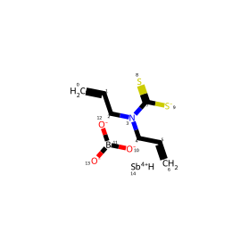 C=CCN(CC=C)C(=S)[S-].[O-]B([O-])[O-].[SbH+4]